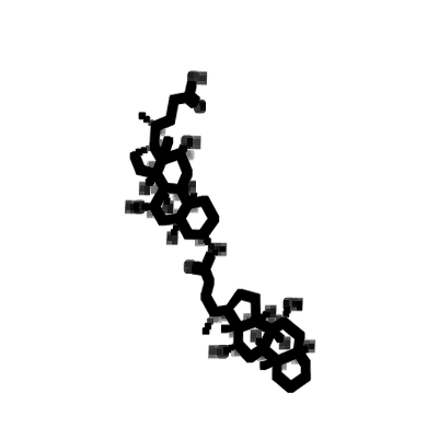 C[C@H](CCC(=O)O)[C@H]1CC[C@H]2[C@@H]3[C@H](O)C[C@@H]4C[C@@H](NC(=O)CC[C@@H](C)[C@H]5CC[C@H]6[C@@H]7[C@H](O)C[C@@H]8CCCC[C@]8(C)[C@H]7C[C@H](O)[C@]56C)CC[C@]4(C)[C@H]3C[C@H](O)C12C